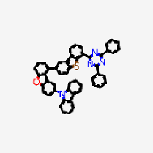 c1ccc(-c2nc(-c3ccccc3)nc(-c3cccc4c3sc3ccc(-c5cccc6oc7ccc(-n8c9ccccc9c9ccccc98)cc7c56)cc34)n2)cc1